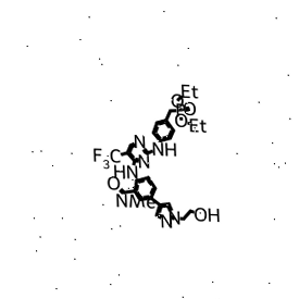 CCOP(=O)(Cc1ccc(Nc2ncc(C(F)(F)F)c(Nc3ccc(-c4cnn(CCO)c4)cc3C(=O)NC)n2)cc1)OCC